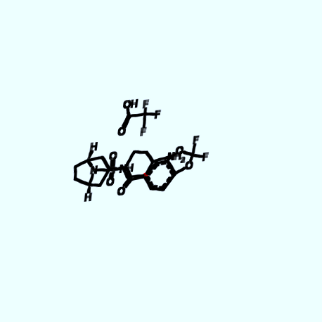 NC1CCC(S(=O)(=O)N2[C@@H]3CC[C@H]2CC(NC(=O)c2ccc4c(c2)OC(F)(F)O4)C3)CC1.O=C(O)C(F)(F)F